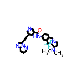 CN(C)[C@@H]1CCN(Cc2ccc(NC(=O)c3cncc(C#Cc4cnc5cccnn45)c3)cc2C(F)(F)F)C1